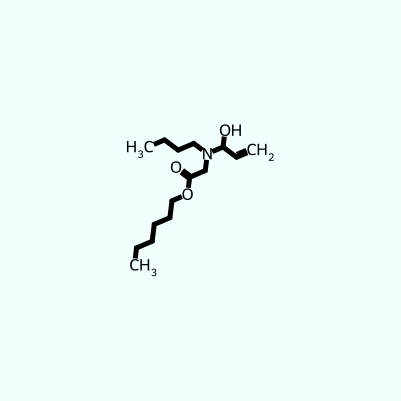 C=CC(O)N(CCCC)CC(=O)OCCCCCC